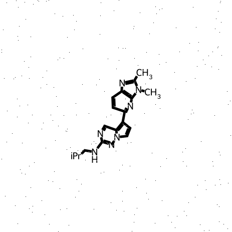 Cc1nc2ccc(-c3ccn4nc(NCC(C)C)ncc34)nc2n1C